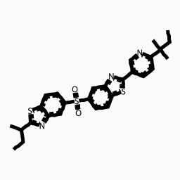 CCC(C)c1nc2cc(S(=O)(=O)c3ccc4sc(-c5ccc(C(C)(C)CC)nc5)nc4c3)ccc2s1